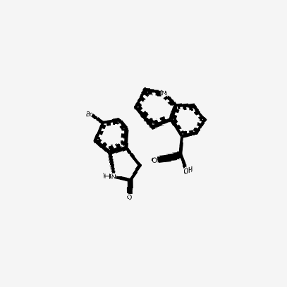 O=C(O)c1cccc2ncccc12.O=C1Cc2ccc(Br)cc2N1